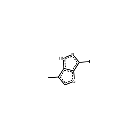 Cc1csc2c(I)n[nH]c12